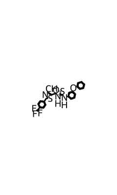 Cc1nc(-c2ccc(C(F)(F)F)cc2)sc1C(=O)NC(=S)Nc1cccc(Oc2ccccc2)c1